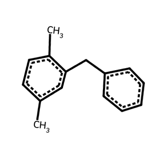 Cc1ccc(C)c(Cc2ccccc2)c1